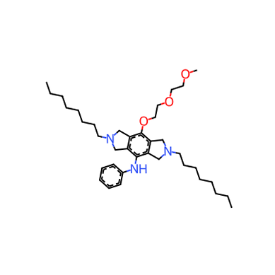 CCCCCCCCN1Cc2c(c(OCCOCCOC)c3c(c2Nc2ccccc2)CN(CCCCCCCC)C3)C1